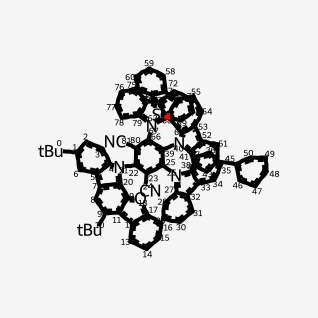 CC(C)(C)c1ccc2c(c1)c1cc(C(C)(C)C)c3c4ccccc4oc3c1n2-c1c(C#N)c(-n2c3ccccc3c3ccccc32)c(-n2c3ccc(-c4ccccc4)cc3c3ccc4c5ccccc5sc4c32)c(-n2c3ccccc3c3ccccc32)c1C#N